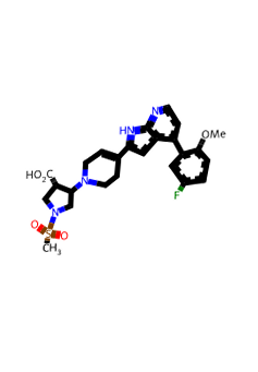 COc1ccc(F)cc1-c1ccnc2[nH]c(C3=CCN(C4CN(S(C)(=O)=O)CC4C(=O)O)CC3)cc12